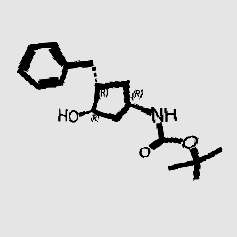 CC(C)(C)OC(=O)N[C@@H]1C[C@@H](Cc2ccccc2)[C@H](O)C1